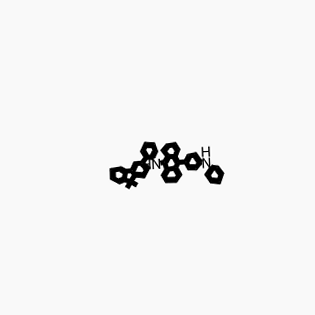 CC1(C)c2ccccc2-c2cc(-c3ccccc3Nc3c4ccccc4c(-c4ccc(Nc5ccccc5)cc4)c4ccccc34)ccc21